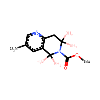 BC1(B)Cc2ncc([N+](=O)[O-])cc2C(B)(B)N1C(=O)OC(C)(C)C